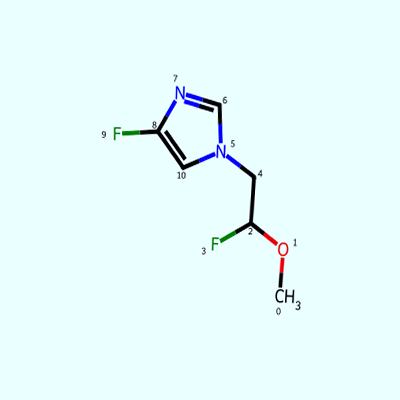 COC(F)Cn1cnc(F)c1